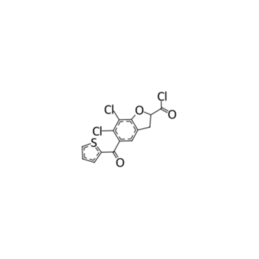 O=C(c1cccs1)c1cc2c(c(Cl)c1Cl)OC(C(=O)Cl)C2